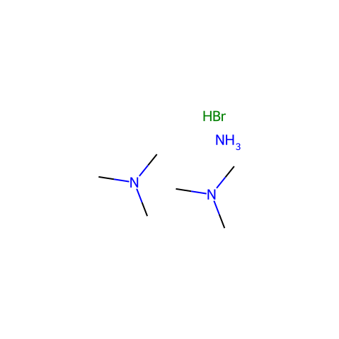 Br.CN(C)C.CN(C)C.N